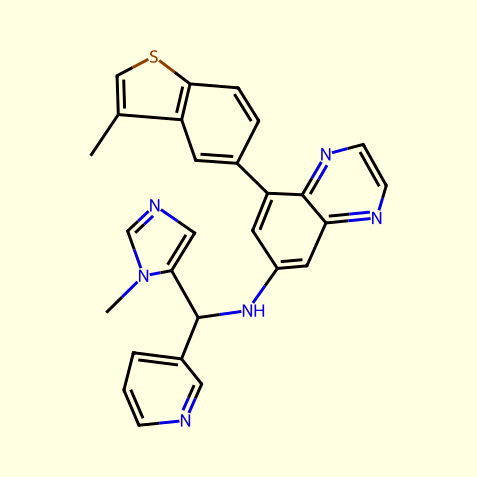 Cc1csc2ccc(-c3cc(NC(c4cccnc4)c4cncn4C)cc4nccnc34)cc12